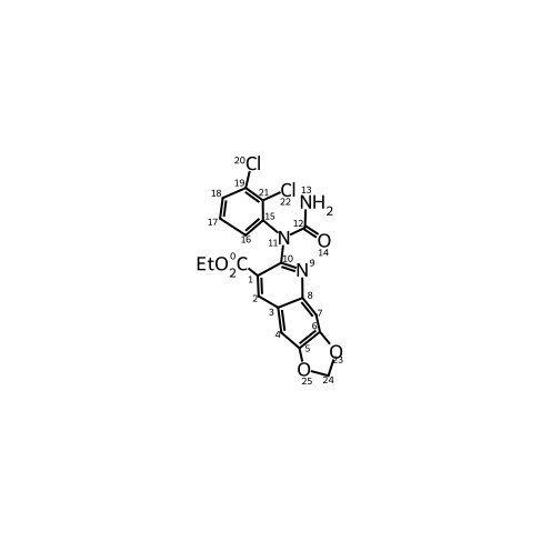 CCOC(=O)c1cc2cc3c(cc2nc1N(C(N)=O)c1cccc(Cl)c1Cl)OCO3